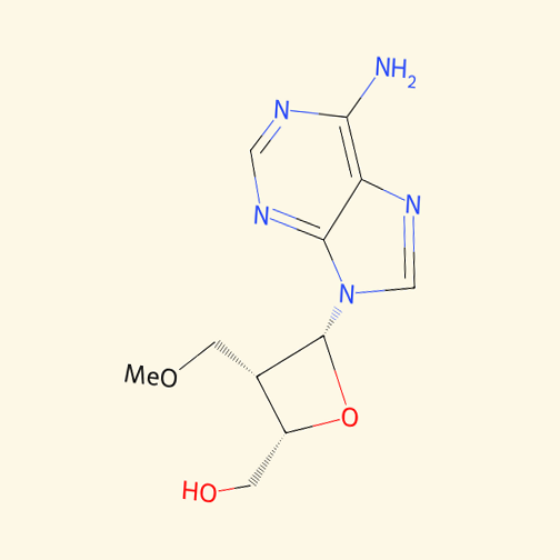 COC[C@@H]1[C@H](n2cnc3c(N)ncnc32)O[C@@H]1CO